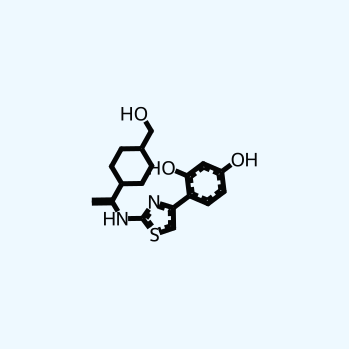 C=C(Nc1nc(-c2ccc(O)cc2O)cs1)C1CCC(CO)CC1